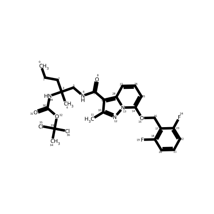 CCCC(C)(CNC(=O)c1c(C)nn2c(OCc3c(F)cccc3F)cccc12)NC(=O)OC(C)(Cl)Cl